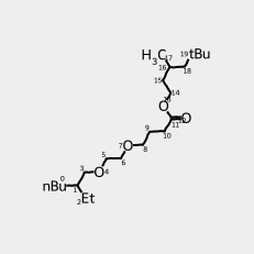 CCCCC(CC)COCCOCCCC(=O)OCCC(C)CC(C)(C)C